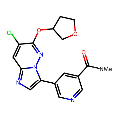 CNC(=O)c1cncc(-c2cnc3cc(Cl)c(OC4CCOC4)nn23)c1